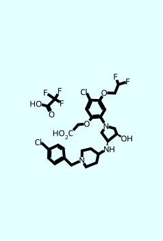 O=C(O)C(F)(F)F.O=C(O)COc1cc(Cl)c(OCC(F)F)cc1N1C[C@@H](O)[C@H](NC2CCN(Cc3ccc(Cl)cc3)CC2)C1